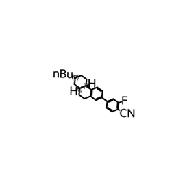 CCCC[C@@H]1CC[C@@H]2c3ccc(-c4ccc(C#N)c(F)c4)cc3CC[C@H]2C1